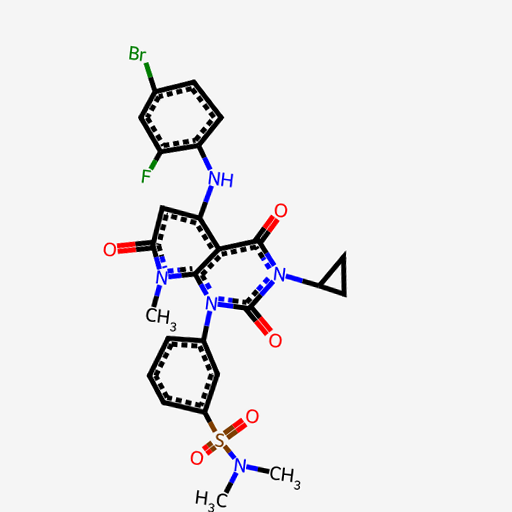 CN(C)S(=O)(=O)c1cccc(-n2c(=O)n(C3CC3)c(=O)c3c(Nc4ccc(Br)cc4F)cc(=O)n(C)c32)c1